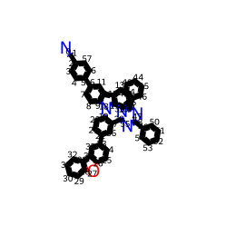 N#Cc1ccc(-c2ccc3c(c2)c2ccccc2n3-c2ccc(-c3ccc4oc5ccccc5c4c3)cc2-c2nc(-c3ccccc3)nc(-c3ccccc3)n2)cc1